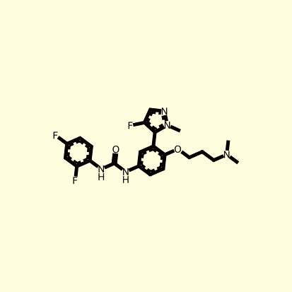 CN(C)CCCOc1ccc(NC(=O)Nc2ccc(F)cc2F)cc1-c1c(F)cnn1C